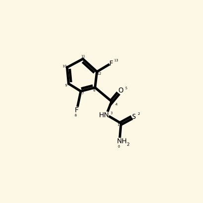 NC(=S)NC(=O)c1c(F)cccc1F